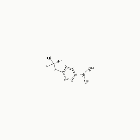 [2H][C@](C)(N)Cc1ccc(B(O)O)cc1